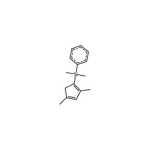 CC1=CC(C)=C([Si](C)(C)c2ccccc2)C1